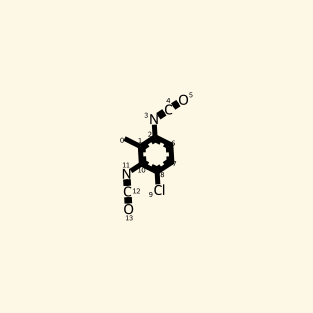 Cc1c(N=C=O)ccc(Cl)c1N=C=O